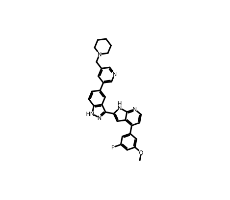 COc1cc(F)cc(-c2ccnc3[nH]c(-c4n[nH]c5ccc(-c6cncc(CN7CCCCC7)c6)cc45)cc23)c1